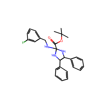 CC(C)(C)OC(=O)C1(NCc2cccc(F)c2)NC(c2ccccc2)C(c2ccccc2)N1